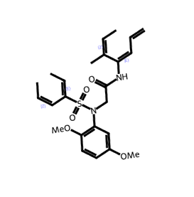 C=C/C=C(NC(=O)CN(c1cc(OC)ccc1OC)S(=O)(=O)C(/C=C\C)=C/C)\C(C)=C/C